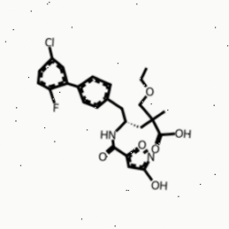 CCOCC(C)(C[C@@H](Cc1ccc(-c2cc(Cl)ccc2F)cc1)NC(=O)c1cc(O)no1)C(=O)O